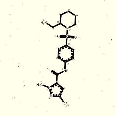 Cn1nc(C(F)(F)F)cc1C(=O)Nc1ccc(S(=O)(=O)N2CCCCC2CN)cc1